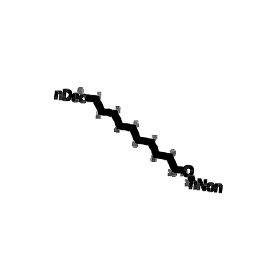 CCCCCCCCCCCCCCCCCCCCOCCCCCCCCC